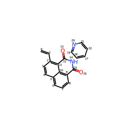 C=Cc1ccc2cccc3c2c1C(=O)NC3=O.c1ccncc1